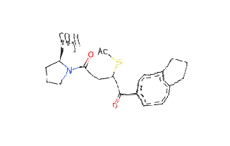 CC(=O)SC(CC(=O)N1CCC[C@H]1C(=O)O)C(=O)c1ccc2c(c1)CCC2